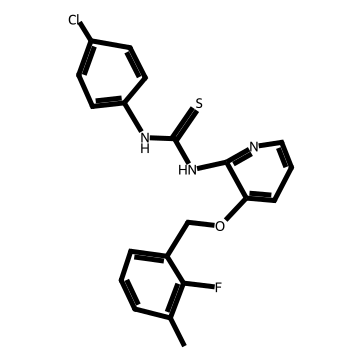 Cc1cccc(COc2cccnc2NC(=S)Nc2ccc(Cl)cc2)c1F